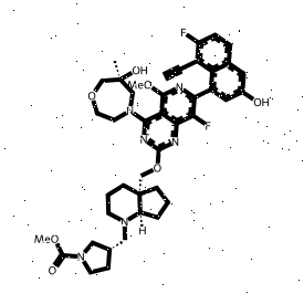 C#Cc1c(F)ccc2cc(O)cc(-c3nc(OC)c4c(N5CCOC[C@@](C)(O)C5)nc(OC[C@]56CCC[C@H]5N(C[C@@H]5CCN(C(=O)OC)C5)CCC6)nc4c3F)c12